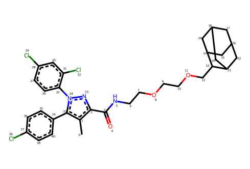 Cc1c(C(=O)NCCOCCOCC2C3CC4CC(C3)CC2C4)nn(-c2ccc(Cl)cc2Cl)c1-c1ccc(Cl)cc1